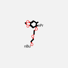 CCCCOCCOCCOC1(CCC)C=C2OCOC2=CC1C